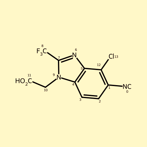 [C-]#[N+]c1ccc2c(nc(C(F)(F)F)n2CC(=O)O)c1Cl